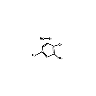 CCCCc1cc(C)ccc1O.CCO